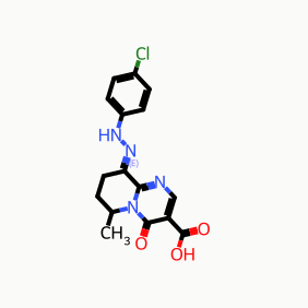 CC1CC/C(=N\Nc2ccc(Cl)cc2)c2ncc(C(=O)O)c(=O)n21